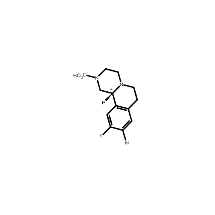 O=C(O)N1CCN2CCc3cc(Br)c(F)cc3[C@@H]2C1